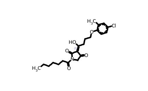 CCCCCCC(=O)N1CC(=O)/C(=C(/O)CCCOc2ccc(Cl)cc2C)C1=O